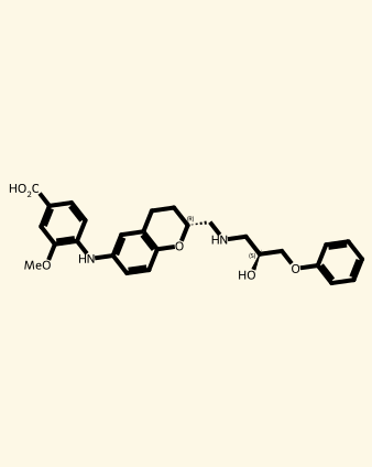 COc1cc(C(=O)O)ccc1Nc1ccc2c(c1)CC[C@H](CNC[C@H](O)COc1ccccc1)O2